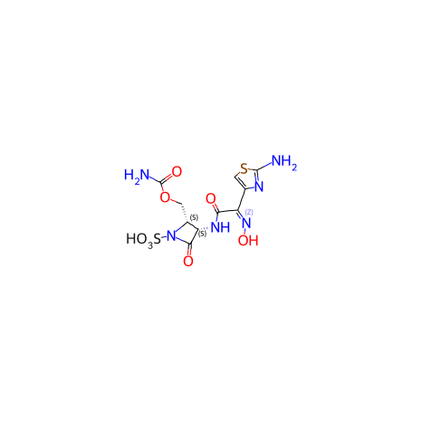 NC(=O)OC[C@@H]1[C@H](NC(=O)/C(=N\O)c2csc(N)n2)C(=O)N1S(=O)(=O)O